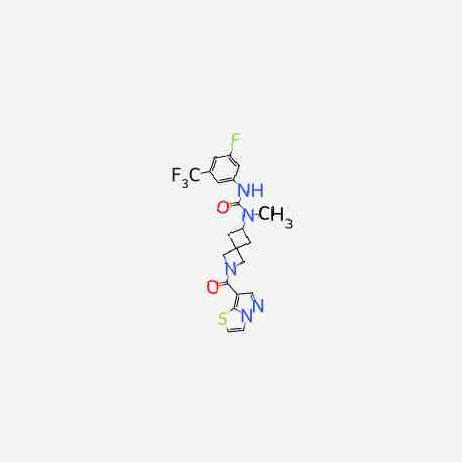 CN(C(=O)Nc1cc(F)cc(C(F)(F)F)c1)C1CC2(C1)CN(C(=O)c1cnn3ccsc13)C2